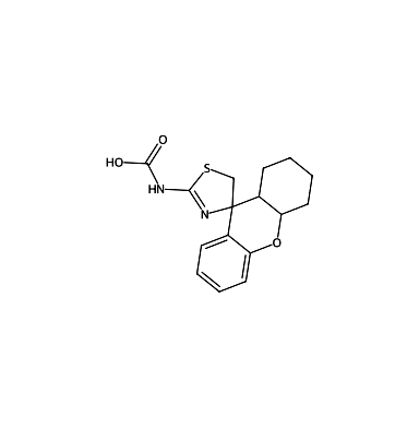 O=C(O)NC1=NC2(CS1)c1ccccc1OC1CCCCC12